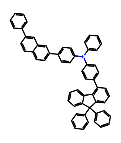 c1ccc(-c2ccc3ccc(-c4ccc(N(c5ccccc5)c5ccc(-c6cccc7c6-c6ccccc6C7(c6ccccc6)c6ccccc6)cc5)cc4)cc3c2)cc1